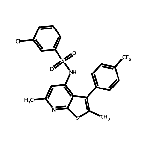 Cc1cc(NS(=O)(=O)c2cccc(Cl)c2)c2c(-c3ccc(C(F)(F)F)cc3)c(C)sc2n1